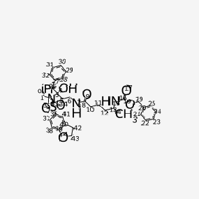 CC(C)CN(C(O)(CCNC(=O)CCCC(C)NC(=O)OCc1ccccc1)Cc1ccccc1)S(=O)(=O)c1ccc2c(c1)CCO2